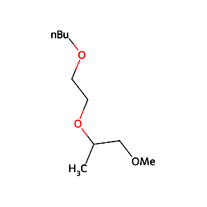 CCCCOCCOC(C)COC